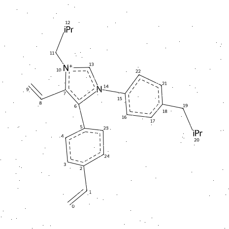 C=Cc1ccc(-c2c(C=C)[n+](CC(C)C)cn2-c2ccc(CC(C)C)cc2)cc1